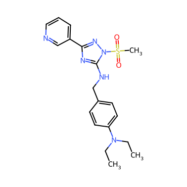 CCN(CC)c1ccc(CNc2nc(-c3cccnc3)nn2S(C)(=O)=O)cc1